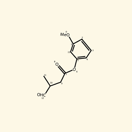 COc1cccc(OC(=O)CC(C)C=O)c1